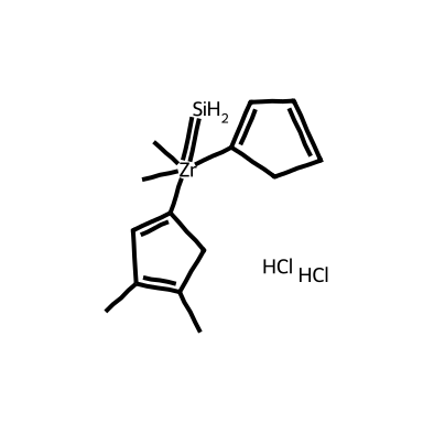 CC1=C(C)C[C]([Zr]([CH3])([CH3])(=[SiH2])[C]2=CC=CC2)=C1.Cl.Cl